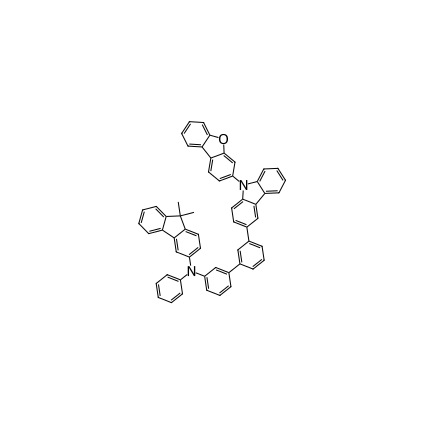 CC1(C)c2ccccc2-c2cc(N(c3ccccc3)c3cccc(-c4cccc(-c5ccc6c(c5)c5ccccc5n6-c5ccc6c(c5)oc5ccccc56)c4)c3)ccc21